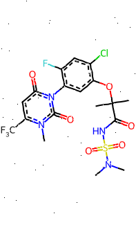 CN(C)S(=O)(=O)NC(=O)C(C)(C)Oc1cc(-n2c(=O)cc(C(F)(F)F)n(C)c2=O)c(F)cc1Cl